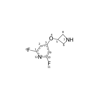 Fc1cc(OC2CNC2)cc(F)n1